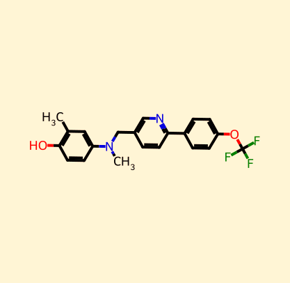 Cc1cc(N(C)Cc2ccc(-c3ccc(OC(F)(F)F)cc3)nc2)ccc1O